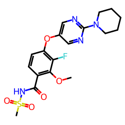 COc1c(C(=O)NS(C)(=O)=O)ccc(Oc2cnc(N3CCCCC3)nc2)c1F